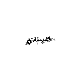 C=C(CCC(=O)NCc1ncc(C)s1)NC(=O)COc1ccc(Cl)c(F)c1